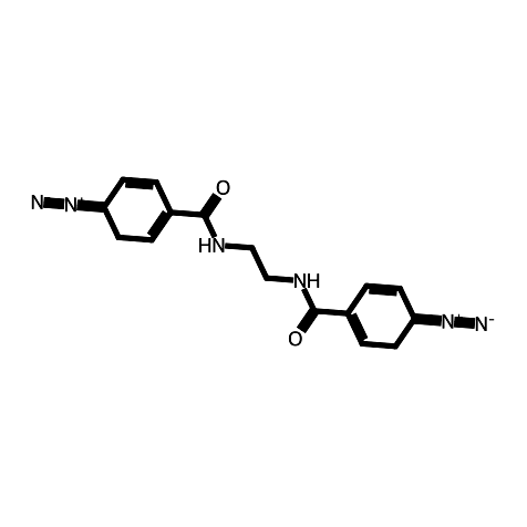 [N-]=[N+]=C1C=CC(C(=O)NCCNC(=O)C2=CCC(=[N+]=[N-])C=C2)=CC1